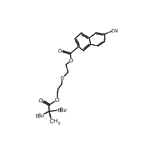 CC(C)(C)C(C)(C(=O)OCCOCCOC(=O)c1ccc2cc(C#N)ccc2c1)C(C)(C)C